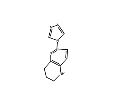 c1cc2c(nc1-n1cnnc1)CCCN2